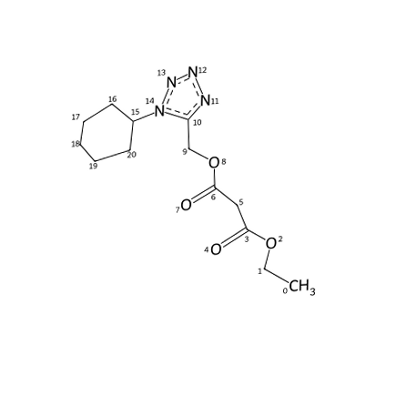 CCOC(=O)CC(=O)OCc1nnnn1C1CCCCC1